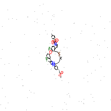 CCOC(=O)CCc1cccc(C2CCCC(C)(C)CSCCc3c(c(F)cc4c3ccn4S(=O)(=O)c3ccc(C)cc3)Oc3ccc(F)c(c3)-c3c(C)cnn32)c1